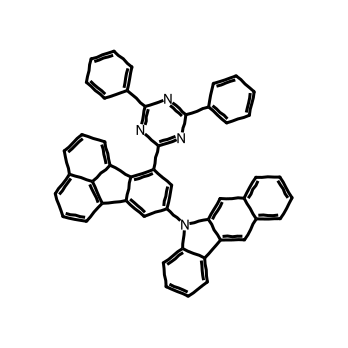 c1ccc(-c2nc(-c3ccccc3)nc(-c3cc(-n4c5ccccc5c5cc6ccccc6cc54)cc4c3-c3cccc5cccc-4c35)n2)cc1